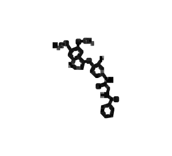 COc1cc2nccc(Oc3ccc(NC(=O)CNC(=O)c4ccccc4)cc3F)c2cc1OC